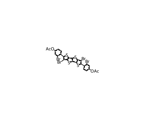 CC(=O)Oc1ccc(-c2sc3c(sc4c5sc(-c6ccc(OC(C)=O)cc6Br)c(Br)c5sc34)c2Br)c(Br)c1